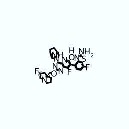 Nc1nc2c(-c3c(O)nc4c(N5CC6CCC(C5)N6)nc(OC[C@@]56CCCN5C[C@H](F)C6)nc4c3F)ccc(F)c2s1